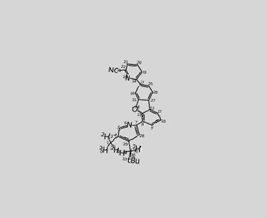 [2H]C([2H])([2H])c1cnc(-c2cccc3c2oc2cc(-c4cccc(C#N)n4)ccc23)cc1C([2H])([2H])C(C)(C)C